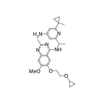 COc1cc2nc(C)nc(NC(C)c3cc(N)cc(C4(C)CC4)n3)c2cc1OCCOC1CC1